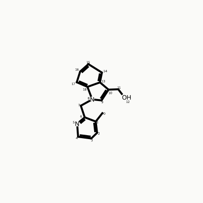 Cc1cccnc1Cn1cc(CO)c2ccccc21